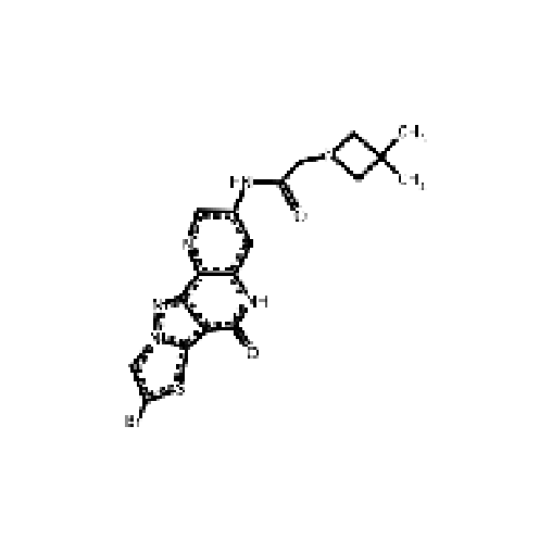 CC1(C)CN(CC(=O)Nc2cnc3c(c2)[nH]c(=O)c2c3nn3cc(Br)sc23)C1